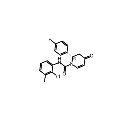 Cc1cccc(NC(=O)N2C=CC(=O)C[C@H]2c2ccc(F)cc2)c1Cl